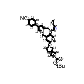 C=N/C=C\N1Cc2cc(-c3ccc(C#N)cc3)cn2Cc2cc(N3CCC4(CN(C(=O)OC(C)(C)C)C4)C3)ncc21